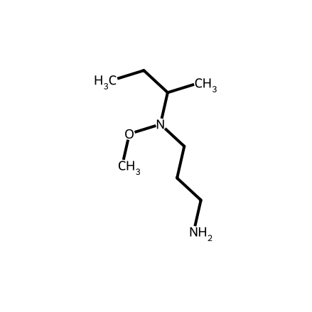 CCC(C)N(CCCN)OC